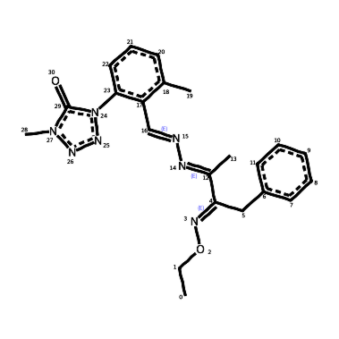 CCO/N=C(Cc1ccccc1)/C(C)=N/N=C/c1c(C)cccc1-n1nnn(C)c1=O